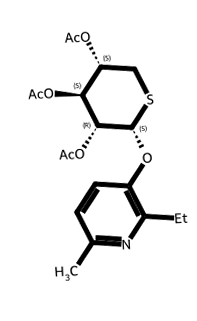 CCc1nc(C)ccc1O[C@H]1SC[C@@H](OC(C)=O)[C@H](OC(C)=O)[C@H]1OC(C)=O